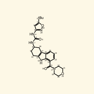 CC(C)(C)c1cc(NC(=O)NC2CCc3[nH]c4c(C(=O)N5CCOCC5)cccc4c3C2)no1